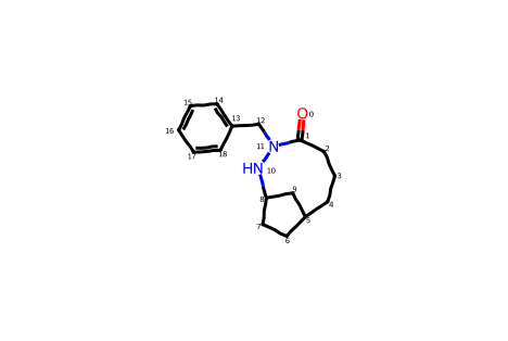 O=C1CCCC2CCC(C2)NN1Cc1ccccc1